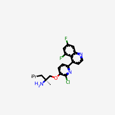 CC(C)C[C@](C)(N)COc1ccc(-c2ccnc3cc(F)cc(F)c23)nc1Cl